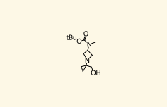 CN(C(=O)OC(C)(C)C)C1CN(C2(CO)CC2)C1